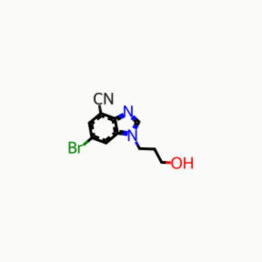 N#Cc1cc(Br)cc2c1ncn2CCCO